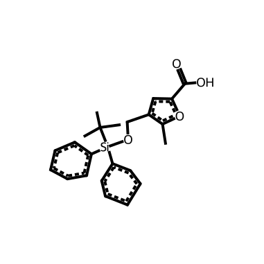 Cc1oc(C(=O)O)cc1CO[Si](c1ccccc1)(c1ccccc1)C(C)(C)C